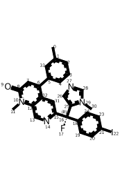 Cc1cccc(-c2cc(=O)n(C)c3cnc([C@](F)(c4ccc(I)cc4)c4cncn4C)cc23)c1